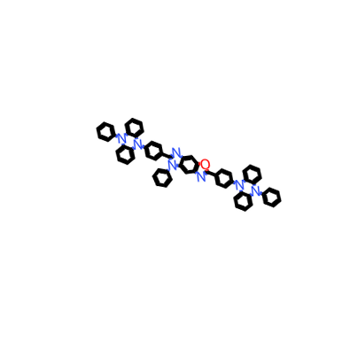 c1ccc(N2c3ccccc3N(c3ccc(-c4nc5cc6c(cc5o4)nc(-c4ccc(N5c7ccccc7N(c7ccccc7)c7ccccc75)cc4)n6-c4ccccc4)cc3)c3ccccc32)cc1